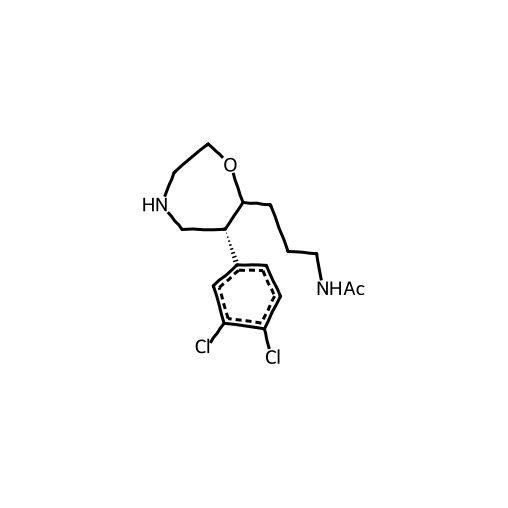 CC(=O)NCCCC1OCCNC[C@H]1c1ccc(Cl)c(Cl)c1